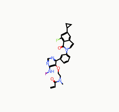 C=CC(=O)N(C)CCOc1c(NI)ncnc1-c1cccc(-n2ccc3cc(C4CC4)cc(F)c3c2=O)c1